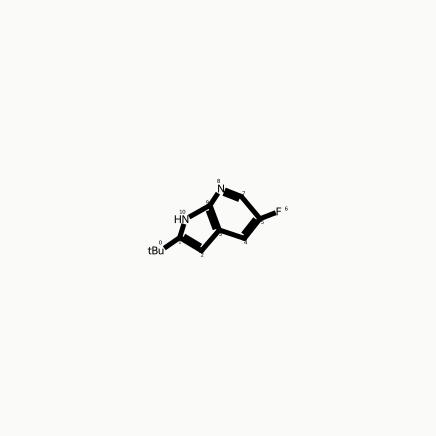 CC(C)(C)c1cc2cc(F)cnc2[nH]1